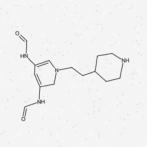 O=CNC1=CN(CCC2CCNCC2)CC(NC=O)=C1